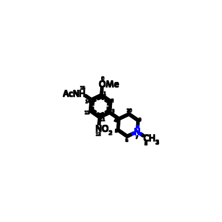 COc1cc(C2CCN(C)CC2)c([N+](=O)[O-])cc1NC(C)=O